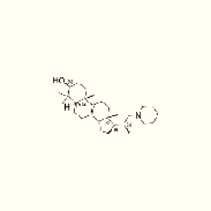 C[C@H](CN1CCCCC1)[C@H]1CC=C2C3=C(CC[C@@]21C)[C@@]1(C)CC[C@H](O)C(C)(C)[C@@H]1CC3